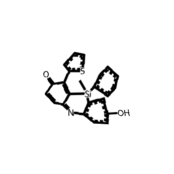 C[Si]1(c2ccccc2)C2=C(c3cccs3)C(=O)C=CC2=Nc2ccc(O)cc21